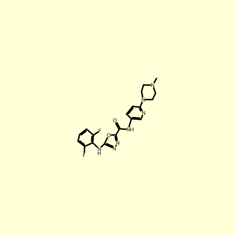 CN1CCN(c2ccc(NC(=O)c3nnc(Nc4c(F)cccc4F)o3)cn2)CC1